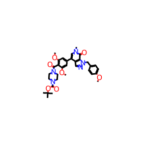 COc1ccc(Cn2ncc3c(-c4cc(OC)c(C(=O)N5CCN(C(=O)OC(C)(C)C)CC5)c(OC)c4)cn(C)c(=O)c32)cc1